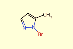 Cc1ccnn1Br